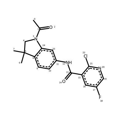 CC(=O)N1CC(C)(C)c2ccc(NC(=O)c3cc(F)cnc3Cl)cc21